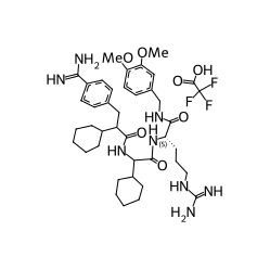 COc1ccc(CNC(=O)[C@H](CCCNC(=N)N)NC(=O)C(NC(=O)C(Cc2ccc(C(=N)N)cc2)C2CCCCC2)C2CCCCC2)cc1OC.O=C(O)C(F)(F)F